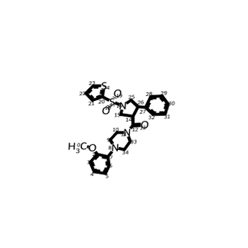 COc1ccccc1N1CCN(C(=O)C2CN(S(=O)(=O)c3cccs3)CC2c2ccccc2)CC1